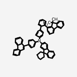 CC1(C)c2ccccc2-c2cccc(-c3ccccc3-c3ccc(N(c4ccc(-c5cc6ccccc6c6ccccc56)cc4)c4ccc5c(c4)C4(CCCCC4)c4ccccc4-5)cc3)c21